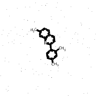 Cc1ccc(-c2ccc3ccc(C)cc3n2)c(C)c1